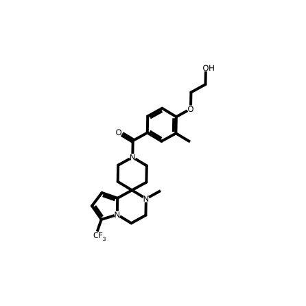 Cc1cc(C(=O)N2CCC3(CC2)c2ccc(C(F)(F)F)n2CCN3C)ccc1OCCO